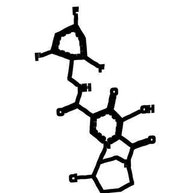 O=C(NCc1c(F)cc(F)cc1F)c1cn2c(c(O)c1=O)C(=O)N1CCCC(Cl)C2C1